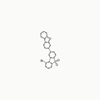 O=S1(=O)c2ccc(-c3ccc4c(c3)oc3ccccc34)cc2-c2c(Br)cccc21